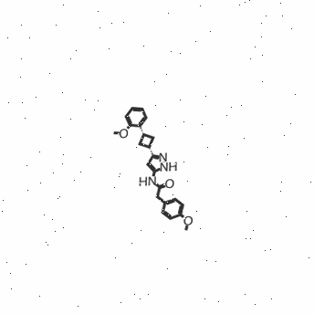 COc1ccc(CC(=O)Nc2cc([C@H]3C[C@@H](c4ccccc4OC)C3)n[nH]2)cc1